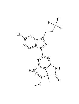 COC(=O)C1(C)C(=O)Nc2nc(-c3nn(CCC(F)(F)F)c4cc(Cl)ccc34)nc(N)c21